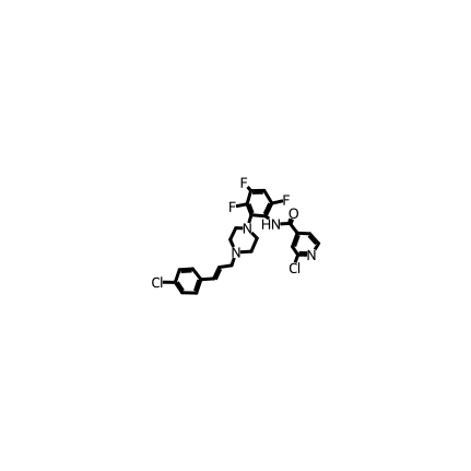 O=C(Nc1c(F)cc(F)c(F)c1N1CCN(CC=Cc2ccc(Cl)cc2)CC1)c1ccnc(Cl)c1